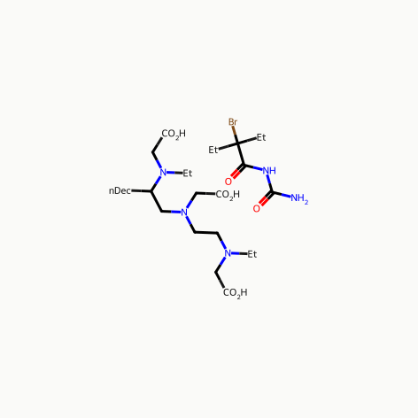 CCC(Br)(CC)C(=O)NC(N)=O.CCCCCCCCCCC(CN(CCN(CC)CC(=O)O)CC(=O)O)N(CC)CC(=O)O